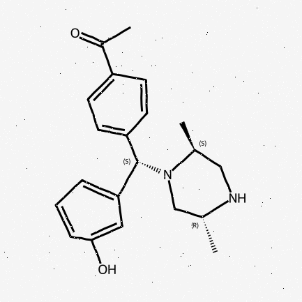 CC(=O)c1ccc([C@@H](c2cccc(O)c2)N2C[C@@H](C)NC[C@@H]2C)cc1